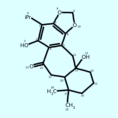 CC(C)c1c(O)c2c(c3c1OCO3)CC1(O)CCCC(C)(C)C1CC2=O